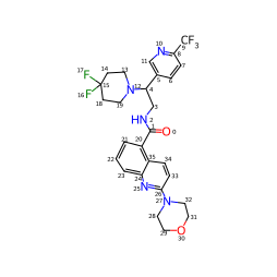 O=C(NCC(c1ccc(C(F)(F)F)nc1)N1CCC(F)(F)CC1)c1cccc2nc(N3CCOCC3)ccc12